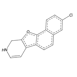 Clc1ccc2c(ccc3c4c(oc32)CNC=C4)c1